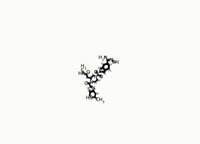 CNC(=O)CC1CN(S(=O)(=O)n2cc3ccc(/C(N)=N\O)cc3c2)CCN1C(=O)c1nc2c(s1)CNC(C)C2